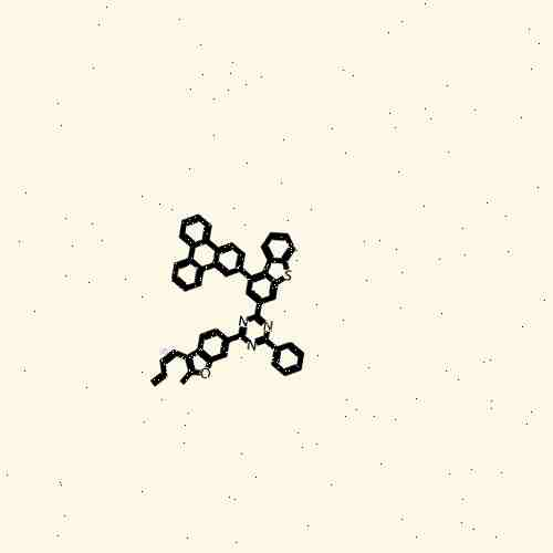 C=C/C=C\c1c(C)oc2cc(-c3nc(-c4ccccc4)nc(-c4cc(-c5ccc6c7ccccc7c7ccccc7c6c5)c5c(c4)sc4ccccc45)n3)ccc12